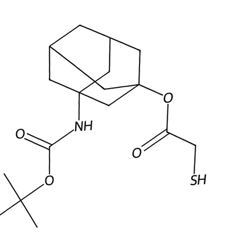 CC(C)(C)OC(=O)NC12CC3CC(C1)CC(OC(=O)CS)(C3)C2